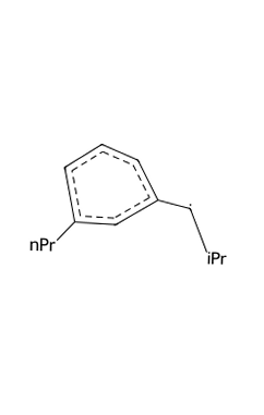 CCCc1cccc([CH]C(C)C)c1